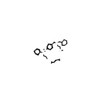 CCCN(c1ccccc1)S(=O)(=O)c1ccc(C(=O)N(CCN(C)C)CC2CCCCC2)cc1.O=C(O)C=CC(=O)O